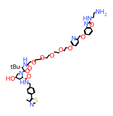 Cc1ncsc1-c1ccc(CNC(=O)[C@@H]2C[C@@H](O)CN2C(=O)[C@@H](NC(=O)COCCOCCOCCOCCOc2ccc(COc3ccc4oc(NCCN)nc4c3)nc2)C(C)(C)C)cc1